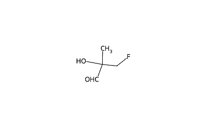 CC(O)(C=O)CF